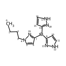 CCCCn1ccc(B(c2cc[nH]n2)c2cc[nH]n2)n1